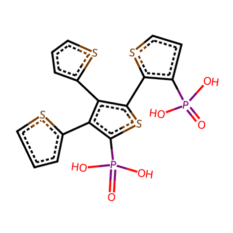 O=P(O)(O)c1ccsc1-c1sc(P(=O)(O)O)c(-c2cccs2)c1-c1cccs1